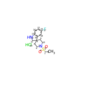 CCS(=O)(=O)N1CCC2(CC1)CNc1ccc(F)cc12.Cl